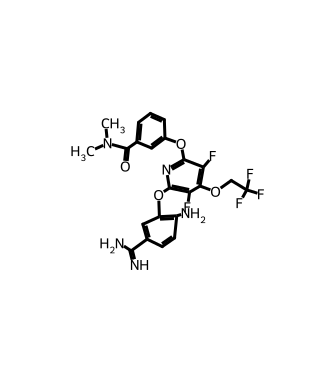 CN(C)C(=O)c1cccc(Oc2nc(Oc3cc(C(=N)N)ccc3N)c(F)c(OCC(F)(F)F)c2F)c1